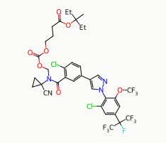 CCC(C)(CC)OC(=O)CCCOC(=O)OCN(C(=O)c1cc(-c2cnn(-c3c(Cl)cc(C(F)(C(F)(F)F)C(F)(F)F)cc3OC(F)(F)F)c2)ccc1Cl)C1(C#N)CC1